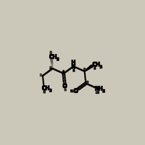 CC[C@H](C)C(=O)N[C@@H](C)C(N)=O